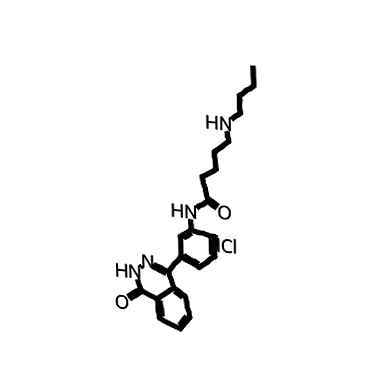 CCCCNCCCCC(=O)Nc1cccc(-c2n[nH]c(=O)c3ccccc23)c1.Cl